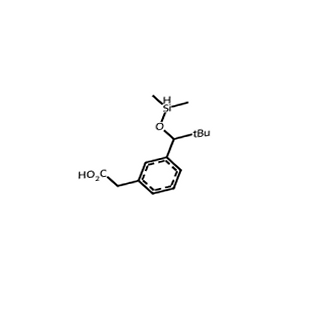 C[SiH](C)OC(c1cccc(CC(=O)O)c1)C(C)(C)C